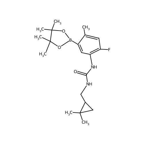 Cc1cc(F)c(NC(=O)NCC2CC2(C)C)cc1B1OC(C)(C)C(C)(C)O1